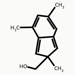 Cc1cc(C)c2c(c1)=CC(C)(CO)C=2